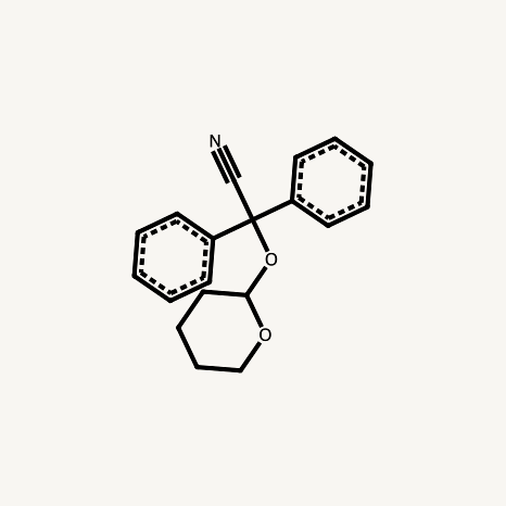 N#CC(OC1CCCCO1)(c1ccccc1)c1ccccc1